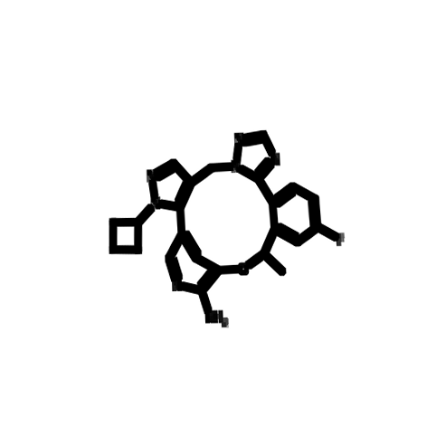 CC1Oc2cc(cnc2N)-c2c(cnn2C2CCC2)Cn2ncnc2-c2ccc(F)cc21